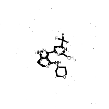 Cc1nc(-c2n[nH]c3ccnc(NC4CCOCC4)c23)cc(C(F)(F)F)n1